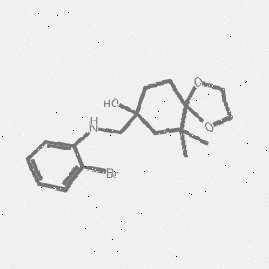 CC1(C)CC(O)(CNc2ccccc2Br)CCC12OCCO2